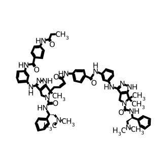 CCC(=O)Nc1ccc(C(=O)Nc2cccc(Nc3n[nH]c4c3CN(C(=O)N[C@H](CN(C)C)c3ccccc3)C4(C)C/C=C\C(=O)Nc3ccc(C(=O)Nc4cccc(Nc5n[nH]c6c5CN(C(=O)N[C@H](CN(C)C)c5ccccc5)C6(C)C)c4)cc3)c2)cc1